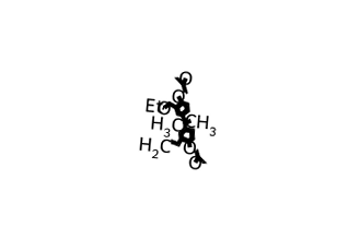 C=CCc1cc(C(C)(C)c2ccc(OCC3CO3)c(COCC)c2)ccc1OCC1CO1